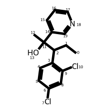 CCC(c1ccc(Cl)cc1Cl)C(C)(O)c1cccnc1